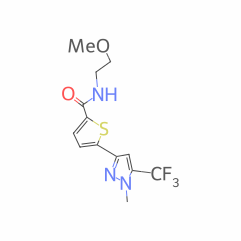 COCCNC(=O)c1ccc(-c2cc(C(F)(F)F)n(C)n2)s1